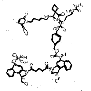 NC(=O)NCCC[C@H](NC(=O)C1(C(=O)NCCCCCN2C(=O)C=CC2=O)CCC1)C(=O)Nc1ccc(COC(=O)Nc2cc3c(c4ccccc24)[C@H](CCl)CN3C(=O)CCCC(=O)N2C[C@@H](CCl)c3c2cc(OP(=O)(O)O)c2ccccc32)cc1